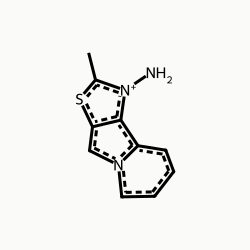 Cc1sc2cn3ccccc3c2[n+]1N